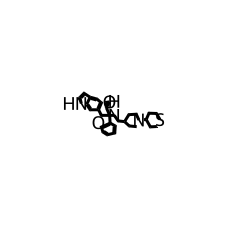 O=C(c1ccc2cc[nH]c2c1)C(NCC1CCN(C2CCSCC2)CC1)(c1ccccc1)C1CO1